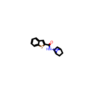 O=C(N[C@@H]1CC2CCC1N2)c1cc2ccccc2s1